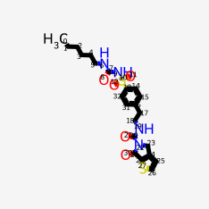 CCCCCCNC(=O)NS(=O)(=O)c1ccc(CCNC(=O)N2Cc3ccsc3C2=O)cc1